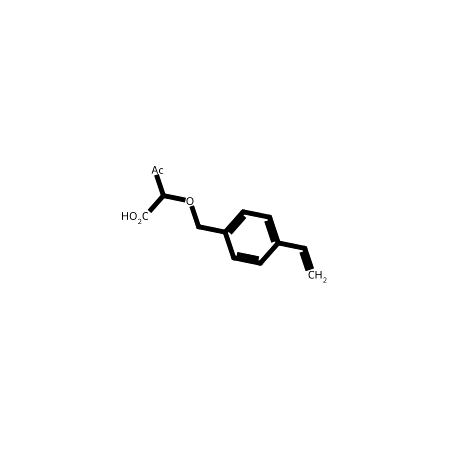 C=Cc1ccc(COC(C(C)=O)C(=O)O)cc1